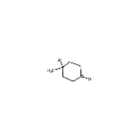 CC1(N)CC[S+]([O-])CC1